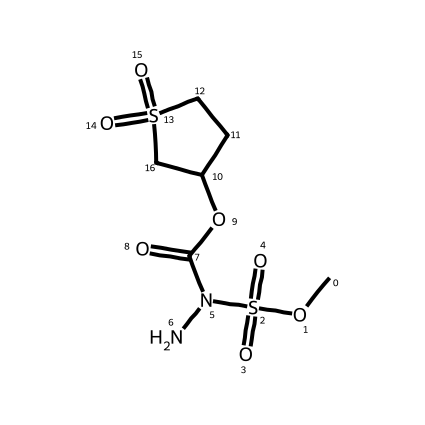 COS(=O)(=O)N(N)C(=O)OC1CCS(=O)(=O)C1